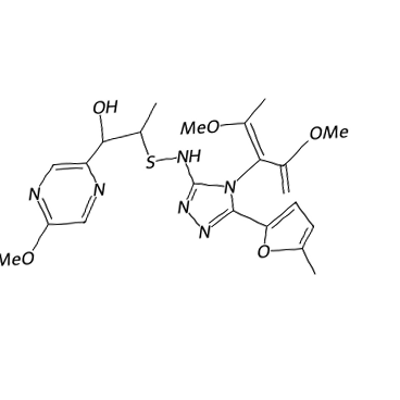 C=C(OC)/C(=C(\C)OC)n1c(NSC(C)C(O)c2cnc(OC)cn2)nnc1-c1ccc(C)o1